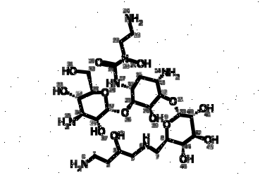 NCCC(O)CNC[C@H]1O[C@H](OC2[C@@H](N)C[C@@H](NC(=O)N(O)CCN)[C@H](O[C@H]3O[C@H](CO)[C@@H](O)[C@H](N)[C@H]3O)[C@H]2O)[C@H](O)[C@@H](O)[C@@H]1O